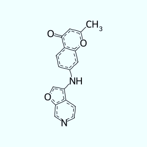 Cc1cc(=O)c2ccc(Nc3coc4cnccc34)cc2o1